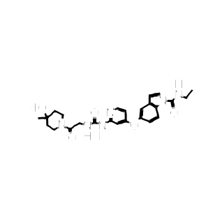 CCNC(=O)n1ccc2cc(Oc3ccnc(NC(=O)NCC(=O)N4CCC(C)(O)CC4)c3)ccc21